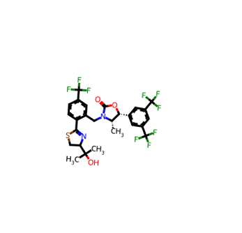 C[C@H]1[C@@H](c2cc(C(F)(F)F)cc(C(F)(F)F)c2)OC(=O)N1Cc1cc(C(F)(F)F)ccc1C1=NC(C(C)(C)O)CS1